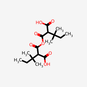 CCC(C)(C)C(C(=O)O)C(=O)OC(=O)C(C(=O)O)C(C)(C)CC